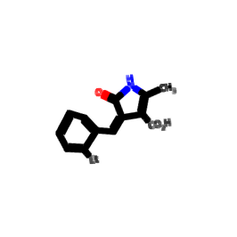 CCc1ccccc1C=C1C(=O)NC(C)=C1C(=O)O